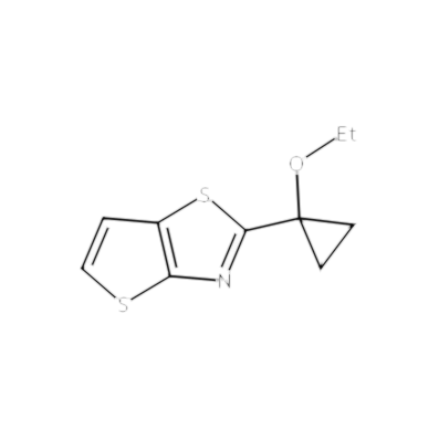 CCOC1(c2nc3sccc3s2)CC1